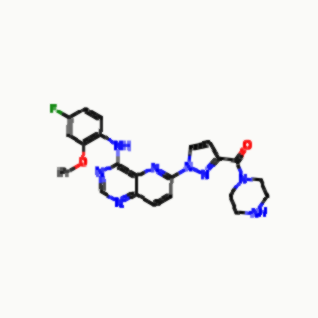 CC(C)Oc1cc(F)ccc1Nc1ncnc2ccc(-n3ccc(C(=O)N4CCNCC4)n3)nc12